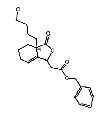 O=C(CC1OC(=O)[C@@]2(CCCCCl)CCCC=C12)OCc1ccccc1